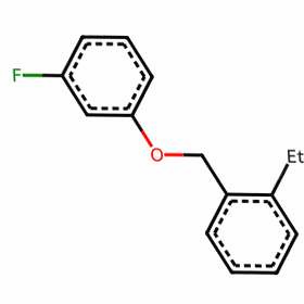 CCc1ccccc1COc1cccc(F)c1